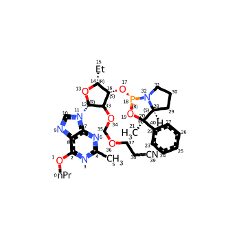 CCCOc1nc(C)nc2c1ncn2[C@@H]1O[C@H](CC)[C@H](O[P@@]2O[C@](C)(c3ccccc3)[C@@H]3CCCN32)C1OCOCCC#N